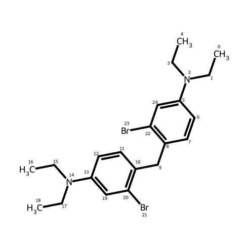 CCN(CC)c1ccc(Cc2ccc(N(CC)CC)cc2Br)c(Br)c1